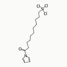 O=C(CCCCCCCCCC[Si](Cl)(Cl)Cl)n1cccc1